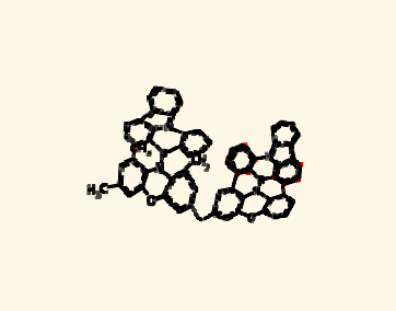 Cc1cc(C)c2c(c1)Oc1cc(Cc3cc4c(c(-c5ccccc5)c3)N(B3c5ccccc5-n5c6ccccc6c6cccc3c65)c3c(cccc3-c3ccccc3)O4)cc(C)c1N2B1c2ccccc2-n2c3ccccc3c3cccc1c32